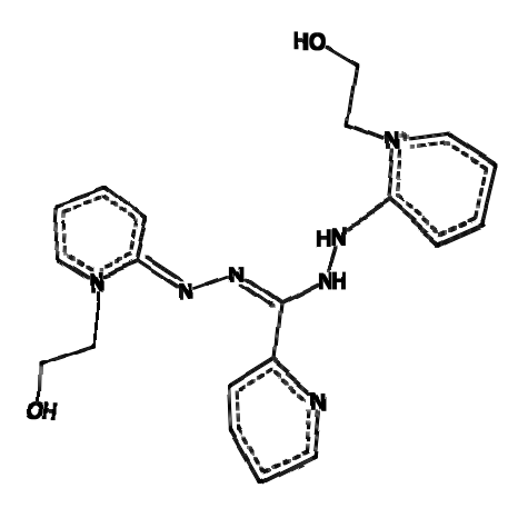 OCCn1cccc/c1=N\N=C(\NNc1cccc[n+]1CCO)c1ccccn1